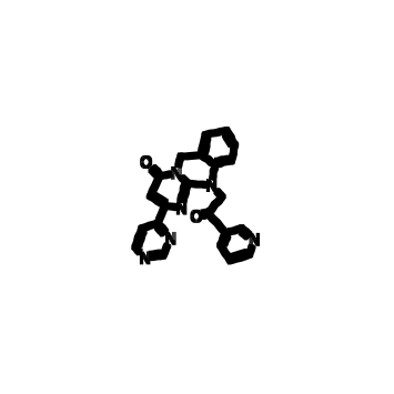 O=C(CN1c2ccccc2Cn2c1nc(-c1ccncn1)cc2=O)c1cccnc1